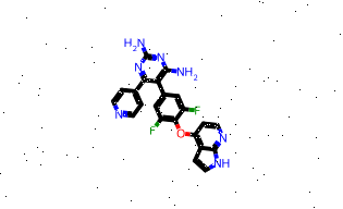 Nc1nc(N)c(-c2cc(F)c(Oc3ccnc4[nH]ccc34)c(F)c2)c(-c2ccncc2)n1